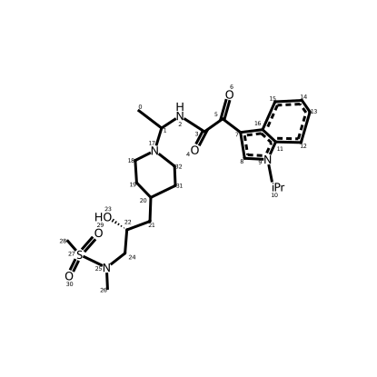 CC(NC(=O)C(=O)c1cn(C(C)C)c2ccccc12)N1CCC(C[C@@H](O)CN(C)S(C)(=O)=O)CC1